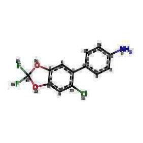 Nc1ccc(-c2cc3c(cc2Cl)OC(F)(F)O3)cc1